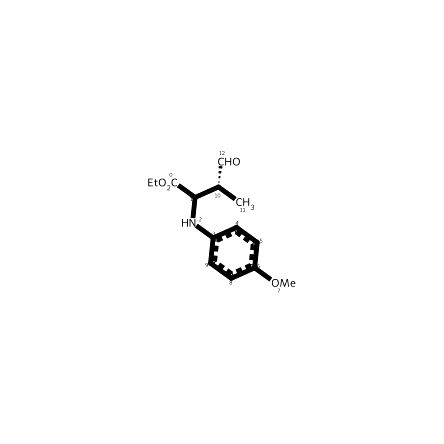 CCOC(=O)C(Nc1ccc(OC)cc1)[C@@H](C)C=O